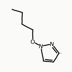 CCCCOn1cc[c]n1